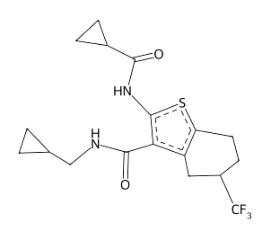 O=C(NCC1CC1)c1c(NC(=O)C2CC2)sc2c1CC(C(F)(F)F)CC2